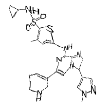 Cc1cc(NC2=NC(C3=CCCNC3)=CN3C2=NCC3c2cnn(C)c2)sc1S(=O)(=O)NC1CC1